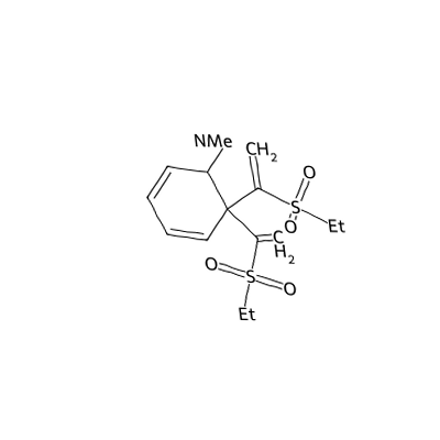 C=C(C1(C(=C)S(=O)(=O)CC)C=CC=CC1NC)S(=O)(=O)CC